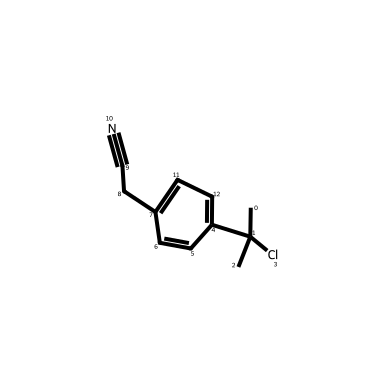 CC(C)(Cl)c1ccc(CC#N)cc1